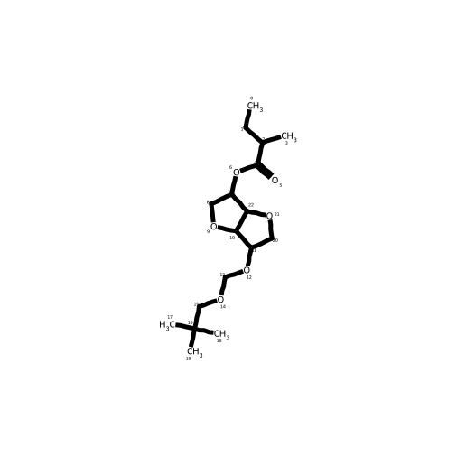 CCC(C)C(=O)OC1COC2C(OCOCC(C)(C)C)COC12